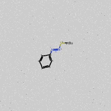 CC(C)(C)S/N=N/c1ccccc1